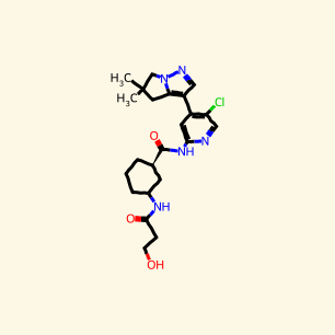 CC1(C)Cc2c(-c3cc(NC(=O)[C@@H]4CCCC(NC(=O)CCO)C4)ncc3Cl)cnn2C1